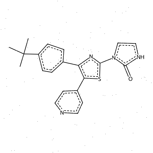 CC(C)(C)c1ccc(-c2nc(-n3cc[nH]c3=O)sc2-c2ccncc2)cc1